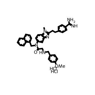 COc1ccc(CNCC(=O)N(Cc2cccc3ccccc23)c2ccc3c(c2)nc(CCc2ccc(C(=N)N)cc2)n3C)cc1.Cl.Cl